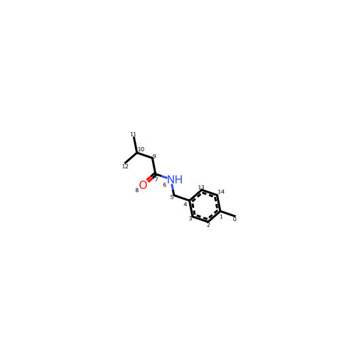 Cc1ccc(CNC(=O)CC(C)C)cc1